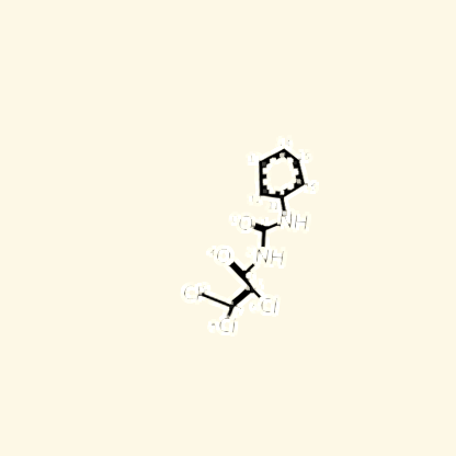 O=C(NC(=O)C(Cl)=C(Cl)Cl)Nc1ccccc1